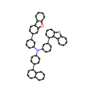 c1cc(-c2ccc3c(c2)oc2ccccc23)cc(N(c2ccc(-c3cccc4ccccc34)cc2)c2cccc(-c3cccc4sc5ccccc5c34)c2)c1